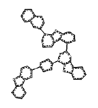 c1ccc2cc(-c3cccc4c3oc3cccc(-c5nc(-c6ccc(-c7ccc8oc9ccccc9c8c7)cc6)c6sc7ccccc7c6n5)c34)ccc2c1